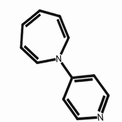 C1=CC=CN(c2ccncc2)C=C1